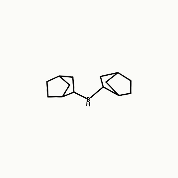 B(C1CC2CCC1C2)C1CC2CCC1C2